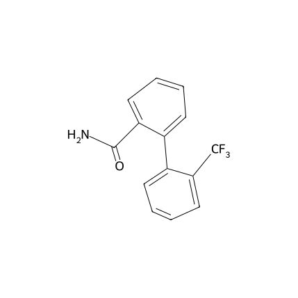 NC(=O)c1ccccc1-c1ccccc1C(F)(F)F